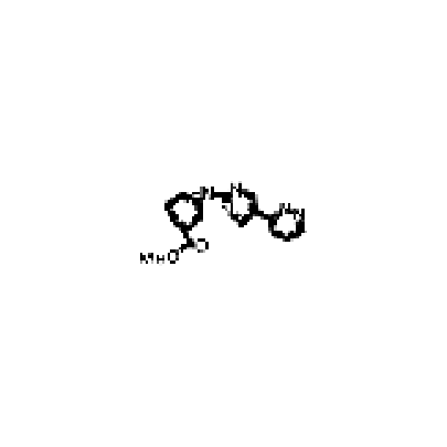 COC(=O)c1cccc(Nc2ncc(-c3cccnn3)cn2)c1